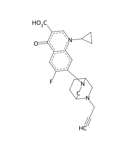 C#CCN1CC2CCC1CN2c1cc2c(cc1F)c(=O)c(C(=O)O)cn2C1CC1